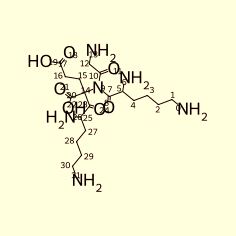 NCCCCC(N)C(=O)N(C(=O)CN)C(CCC(=O)O)(C(=O)O)C(=O)C(N)CCCCN